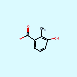 Cc1c(O)cccc1C([O])=O